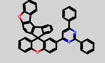 c1ccc(-c2cc(-c3ccc4c(c3)C3(c5ccccc5O4)c4ccccc4-c4c3ccc3oc5ccccc5c43)nc(-c3ccccc3)n2)cc1